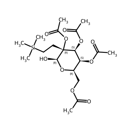 CC(=O)OC[C@H]1O[C@@H](O)[C@](CC[Si](C)(C)C)(OC(C)=O)[C@@H](OC(C)=O)[C@H]1OC(C)=O